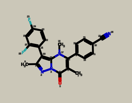 Cc1nn2c(=O)c(C)c(-c3ccc(C#N)cc3)n(C)c2c1-c1ccc(F)cc1F